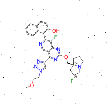 COCCn1cc(-c2nc(OC[C@@]34CCCN3C[C@H](F)C4)nc3c(F)c(-c4c(O)ccc5ccccc45)ncc23)nn1